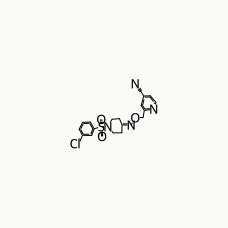 N#Cc1ccnc(CON=C2CCN(S(=O)(=O)c3cccc(Cl)c3)CC2)c1